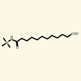 C[N+](C)(C)NC(=O)CCCCCCCCCCC(=O)[O-]